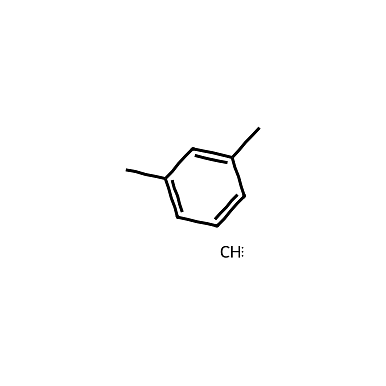 Cc1cccc(C)c1.[CH]